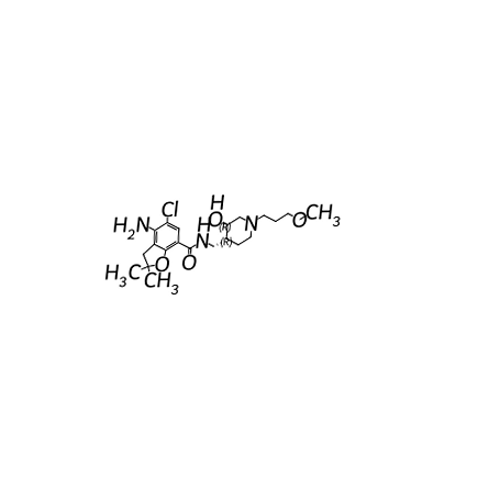 COCCCN1CC[C@H](CNC(=O)c2cc(Cl)c(N)c3c2OC(C)(C)C3)[C@@H](O)C1